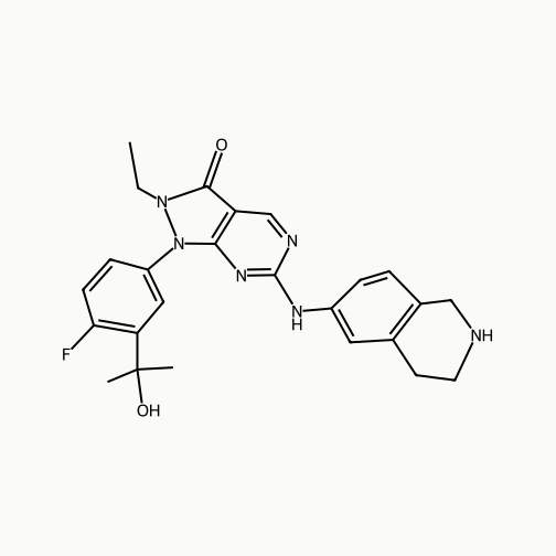 CCn1c(=O)c2cnc(Nc3ccc4c(c3)CCNC4)nc2n1-c1ccc(F)c(C(C)(C)O)c1